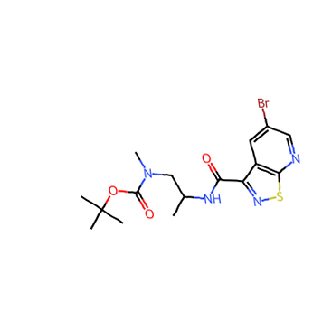 CC(CN(C)C(=O)OC(C)(C)C)NC(=O)c1nsc2ncc(Br)cc12